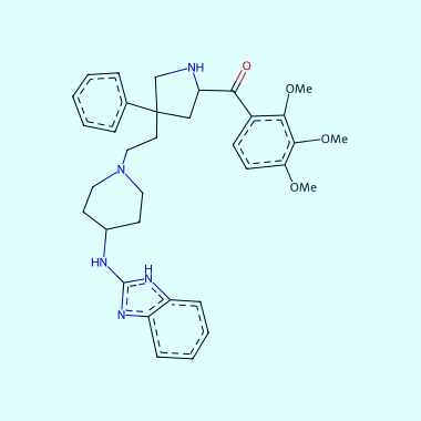 COc1ccc(C(=O)C2CC(CCN3CCC(Nc4nc5ccccc5[nH]4)CC3)(c3ccccc3)CN2)c(OC)c1OC